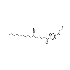 [CH2]CCCCCCCCC(C#N)CCCCC(=O)[C]1OC2CCC1CC2SCCC